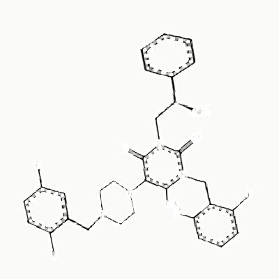 Cc1c(N2CCN(Cc3cc(F)ccc3F)CC2)c(=O)n(C[C@H](N)c2ccccc2)c(=O)n1Cc1c(F)cccc1F